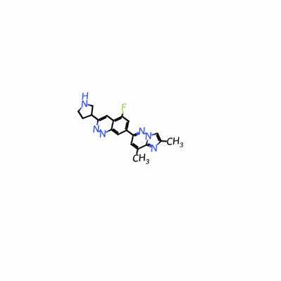 Cc1cn2nc(-c3cc(F)c4cc(C5CCNC5)nnc4c3)cc(C)c2n1